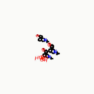 COc1cccc(C23CCCCC2CCN(CC(C)C)CC3)c1.COc1cccc(C23CCCCC2CCN(CC(C)C)CC3)c1.COc1cccc(C23CCCCC2CCN(CC(C)C)CC3)c1.O=P(O)(O)O